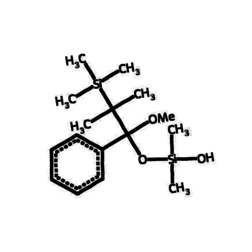 COC(O[Si](C)(C)O)(c1ccccc1)C(C)(C)[Si](C)(C)C